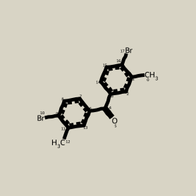 Cc1cc(C(=O)c2ccc(Br)c(C)c2)ccc1Br